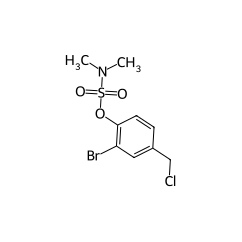 CN(C)S(=O)(=O)Oc1ccc(CCl)cc1Br